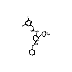 O=C(Cc1cc(F)cc(F)c1)Nc1ccc(NCC2CCOCC2)nc1N1CC[C@@H](F)C1